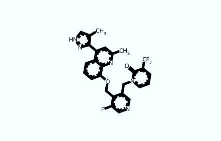 Cc1cc(-c2n[nH]cc2C)c2cccc(OCc3c(F)cncc3Cn3cccc(C(F)(F)F)c3=O)c2n1